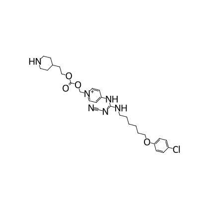 N#CN=C(NCCCCCCOc1ccc(Cl)cc1)Nc1cc[n+](COC(=O)OCCC2CCNCC2)cc1